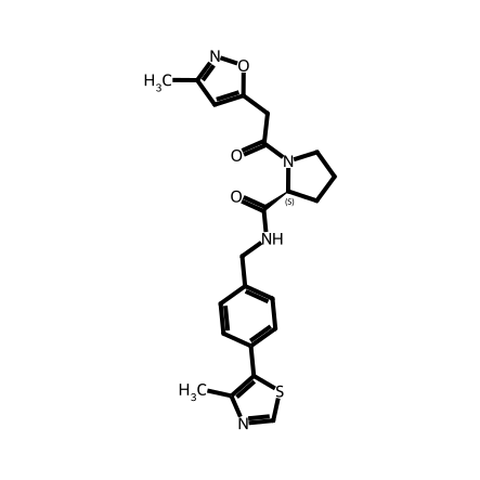 Cc1cc(CC(=O)N2CCC[C@H]2C(=O)NCc2ccc(-c3scnc3C)cc2)on1